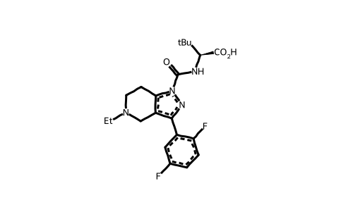 CCN1CCc2c(c(-c3cc(F)ccc3F)nn2C(=O)N[C@H](C(=O)O)C(C)(C)C)C1